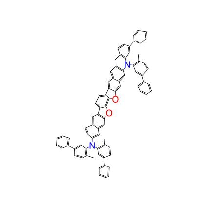 Cc1ccc(-c2ccccc2)cc1N(c1ccc2cc3c(cc2c1)oc1c3ccc2c3cc4ccc(N(c5cc(-c6ccccc6)ccc5C)c5cc(-c6ccccc6)ccc5C)cc4cc3oc21)c1cc(-c2ccccc2)ccc1C